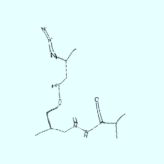 CC(CNNC(=O)C(C)C)CONCC(C)N=[N+]=[N-]